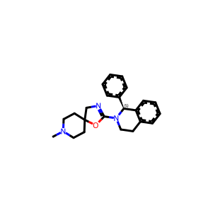 CN1CCC2(CC1)CN=C(N1CCc3ccccc3[C@@H]1c1ccccc1)O2